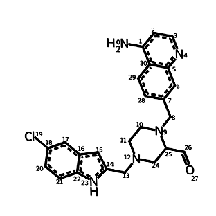 Nc1ccnc2cc(CN3CCN(Cc4cc5cc(Cl)ccc5[nH]4)CC3C=O)ccc12